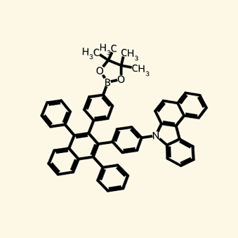 CC1(C)OB(c2ccc(-c3c(-c4ccc(-n5c6ccccc6c6c7ccccc7ccc65)cc4)c(-c4ccccc4)c4ccccc4c3-c3ccccc3)cc2)OC1(C)C